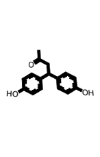 CC(=O)CC(c1ccc(O)cc1)c1ccc(O)cc1